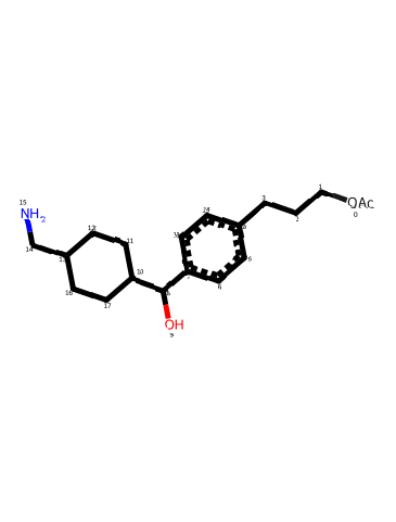 CC(=O)OCCCc1ccc(C(O)C2CCC(CN)CC2)cc1